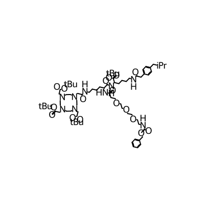 CC(C)Cc1ccc(CC(=O)NCCCCC(NC(=O)C(CCCCNC(=O)CN2CCN(CC(=O)OC(C)(C)C)CCN(CC(=O)OC(C)(C)C)CCN(CC(=O)OC(C)(C)C)CC2)NC(=O)CCOCCOCCOCCNC(=O)OCc2ccccc2)C(=O)OC(C)(C)C)cc1